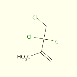 C=C(C(=O)O)C(Cl)(Cl)CCl